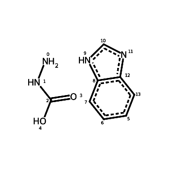 NNC(=O)O.c1ccc2[nH]cnc2c1